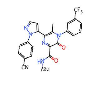 CCCCNC(=O)c1nc(-c2ccnn2-c2ccc(C#N)cc2)c(C)n(-c2cccc(C(F)(F)F)c2)c1=O